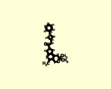 Cc1nc2c(c3c1COC(C)(C)C3)CN(C(=O)CC1CN(c3cccnc3)C1)C2